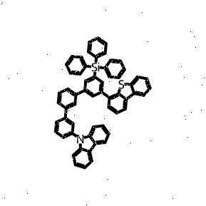 c1ccc([Si](c2ccccc2)(c2ccccc2)c2cc(-c3cccc(-c4cccc(-n5c6ccccc6c6ccccc65)c4)c3)cc(-c3cccc4c3sc3ccccc34)c2)cc1